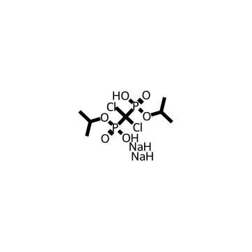 CC(C)OP(=O)(O)C(Cl)(Cl)P(=O)(O)OC(C)C.[NaH].[NaH]